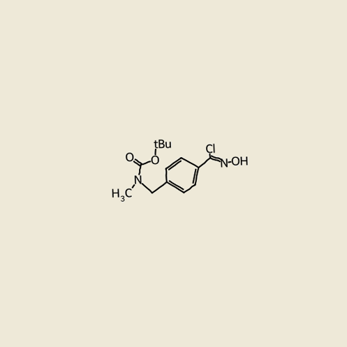 CN(Cc1ccc(C(Cl)=NO)cc1)C(=O)OC(C)(C)C